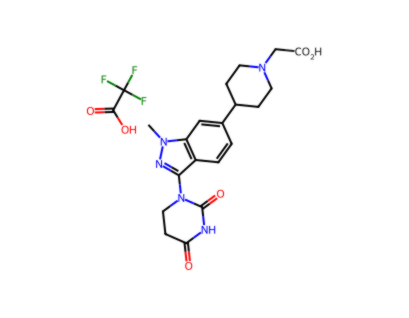 Cn1nc(N2CCC(=O)NC2=O)c2ccc(C3CCN(CC(=O)O)CC3)cc21.O=C(O)C(F)(F)F